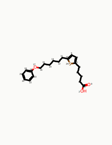 O=C(O)CCCCc1ccc(CCCCCCOc2ccccc2)s1